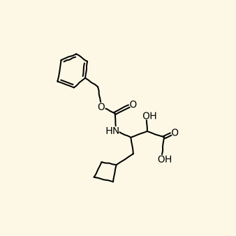 O=C(NC(CC1CCC1)C(O)C(=O)O)OCc1ccccc1